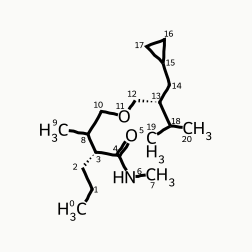 CCC[C@@H](C(=O)NC)C(C)COC[C@H](CC1CC1)C(C)C